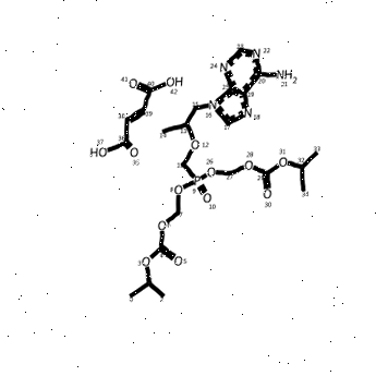 CC(C)OC(=O)OCOP(=O)(COC(C)Cn1cnc2c(N)ncnc21)OCOC(=O)OC(C)C.O=C(O)/C=C/C(=O)O